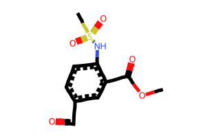 COC(=O)c1cc(C=O)ccc1NS(C)(=O)=O